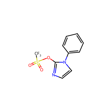 O=S(=O)(Oc1nccn1-c1ccccc1)C(F)(F)F